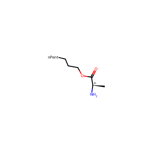 CCCCCCCCOC(=O)[C@@H](C)N